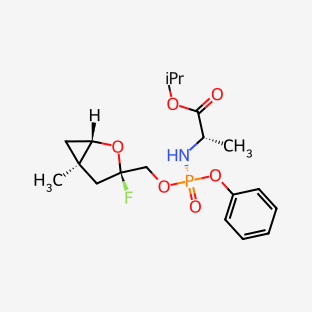 CC(C)OC(=O)[C@H](C)N[P@](=O)(OC[C@]1(F)C[C@@]2(C)C[C@@H]2O1)Oc1ccccc1